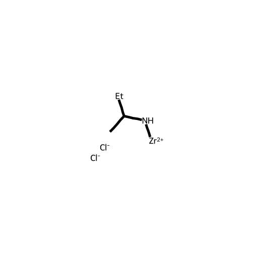 CCC(C)[NH][Zr+2].[Cl-].[Cl-]